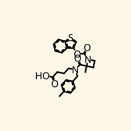 Cc1ccc(CN(CCCC(=O)O)C(=O)C2(C)CCN2C(=O)Oc2csc3ccccc23)cc1